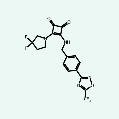 O=c1c(NCc2ccc(-c3noc(C(F)(F)F)n3)cc2)c(N2CCC(F)(F)C2)c1=O